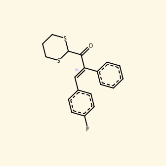 O=C(/C(=C/c1ccc(F)cc1)c1ccccc1)C1SCCCS1